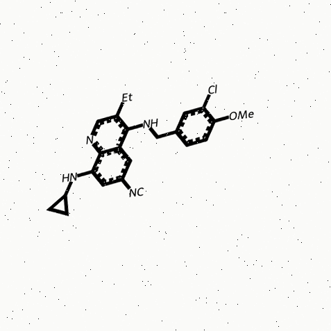 [C-]#[N+]c1cc(NC2CC2)c2ncc(CC)c(NCc3ccc(OC)c(Cl)c3)c2c1